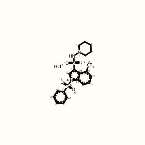 Cl.O=S(=O)(NN1CCCCC1)c1cn(S(=O)(=O)c2ccccc2)c2cccc(C(F)(F)F)c12